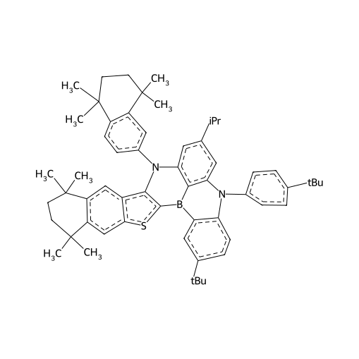 CC(C)c1cc2c3c(c1)N(c1ccc4c(c1)C(C)(C)CCC4(C)C)c1c(sc4cc5c(cc14)C(C)(C)CCC5(C)C)B3c1cc(C(C)(C)C)ccc1N2c1ccc(C(C)(C)C)cc1